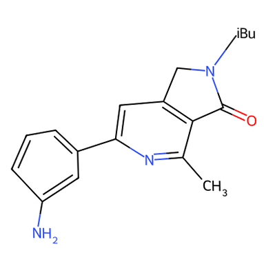 CCC(C)N1Cc2cc(-c3cccc(N)c3)nc(C)c2C1=O